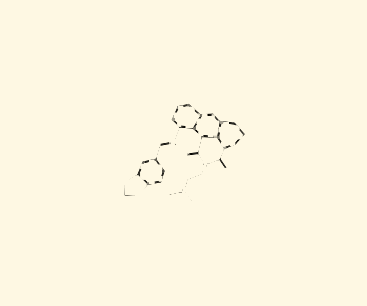 CN(C)CCN1C(=O)c2cccc3cc4cccc(N=Cc5ccc6c(c5)OCO6)c4c(c23)C1=O